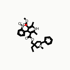 CCC(CC)(COC(=O)C1=C(C)NC(C)=C(C(=O)OC)C1c1ccccc1[N+](=O)[O-])CN(C)Cc1ccccc1